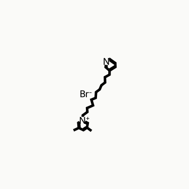 Cc1cc(C)c[n+](CCCCCCCCCCCCc2cccnc2)c1.[Br-]